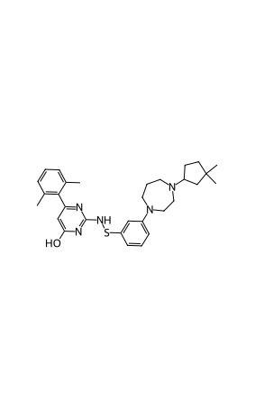 Cc1cccc(C)c1-c1cc(O)nc(NSc2cccc(N3CCCN(C4CCC(C)(C)C4)CC3)c2)n1